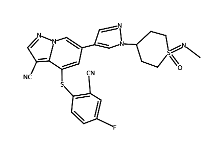 CN=S1(=O)CCC(n2cc(-c3cc(Sc4ccc(F)cc4C#N)c4c(C#N)cnn4c3)cn2)CC1